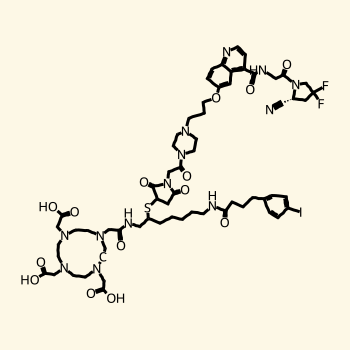 N#C[C@H]1CC(F)(F)CN1C(=O)CNC(=O)c1ccnc2ccc(OCCCN3CCN(C(=O)CN4C(=O)CC(SC(CCCCCNC(=O)CCCc5ccc(I)cc5)CNC(=O)CN5CCN(CC(=O)O)CCN(CC(=O)O)CCN(CC(=O)O)CC5)C4=O)CC3)cc12